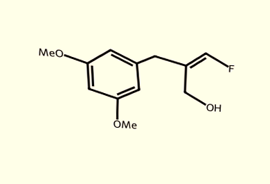 COc1cc(CC(=CF)CO)cc(OC)c1